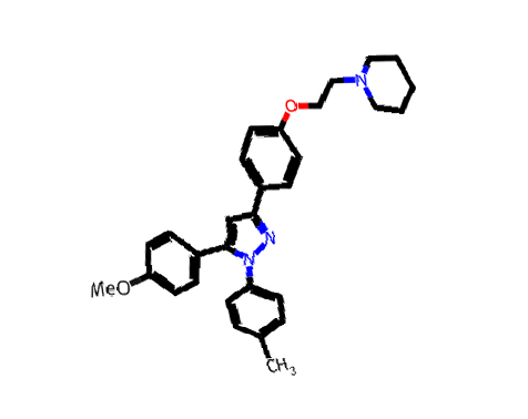 COc1ccc(-c2cc(-c3ccc(OCCN4CCCCC4)cc3)nn2-c2ccc(C)cc2)cc1